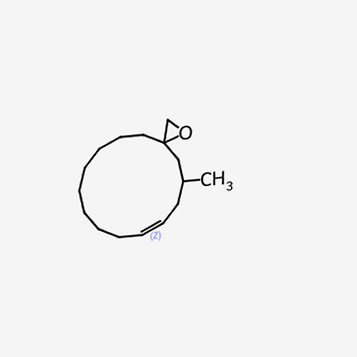 CC1C/C=C\CCCCCCCCC2(CO2)C1